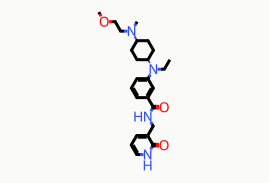 CCN(c1cccc(C(=O)NCc2ccc[nH]c2=O)c1)[C@H]1CC[C@H](N(C)CCOC)CC1